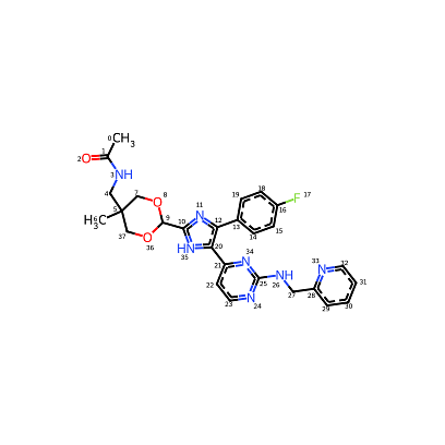 CC(=O)NCC1(C)COC(c2nc(-c3ccc(F)cc3)c(-c3ccnc(NCc4ccccn4)n3)[nH]2)OC1